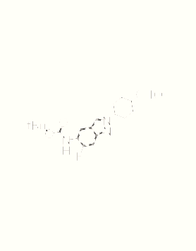 CC(C)(C)OC(=O)Nc1cc2cn([C@H]3CC[C@H](C=O)CC3)nc2cc1F